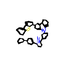 c1ccc(-c2ccc(-c3cccc(-c4cccc(-n5c6ccccc6c6cc(-c7cccc8c7sc7ccccc78)ccc65)c4)n3)cc2)cc1